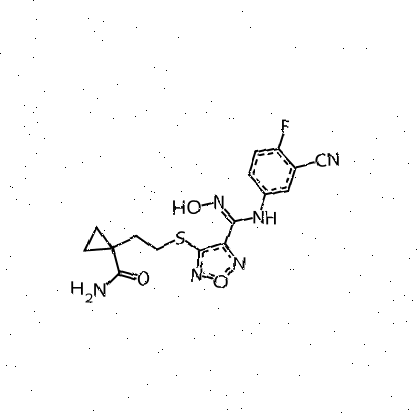 N#Cc1cc(NC(=NO)c2nonc2SCCC2(C(N)=O)CC2)ccc1F